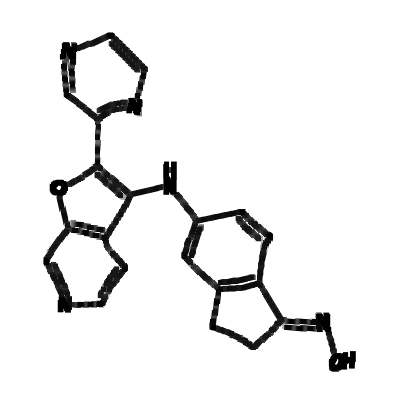 ON=C1CCc2cc(Nc3c(-c4cnccn4)oc4cnccc34)ccc21